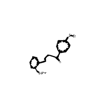 CCCc1ccccc1/C=C/C(=O)c1ccc(SCC)cc1